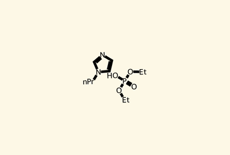 CCCn1ccnc1.CCOP(=O)(O)OCC